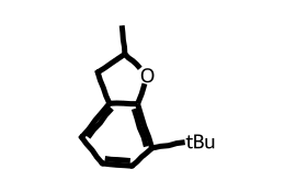 CC1Cc2cccc(C(C)(C)C)c2O1